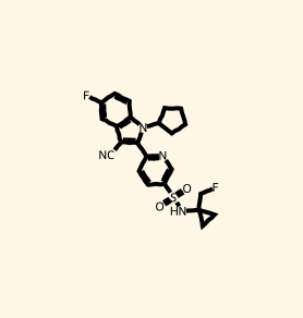 N#Cc1c(-c2ccc(S(=O)(=O)NC3(CF)CC3)cn2)n(C2CCCC2)c2ccc(F)cc12